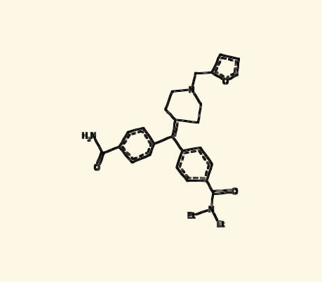 CCN(CC)C(=O)c1ccc(C(=C2CCN(Cc3ccco3)CC2)c2ccc(C(N)=O)cc2)cc1